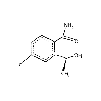 C[C@H](O)c1cc(F)ccc1C(N)=O